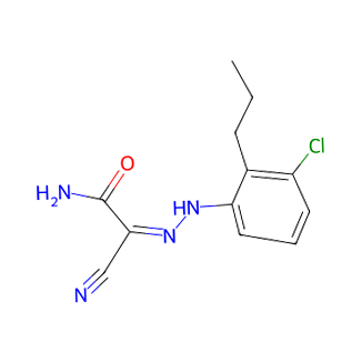 CCCc1c(Cl)cccc1NN=C(C#N)C(N)=O